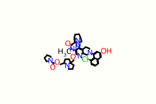 CN1C(=O)C2C3CCC(CN2c2c4c(nc(OCC56CCCN5C(COC(=O)N5CCCC5)CC6)c21)CN(c1cc(O)cc2cccc(Cl)c12)CC4)N3